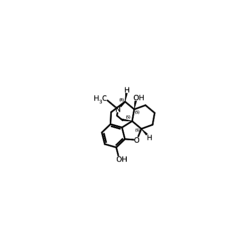 CN1CC[C@]23c4c5ccc(O)c4O[C@H]2CCC[C@@]3(O)[C@H]1C5